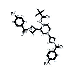 CC(C)(C)C(=O)ON1CCN(C2CN(C(=O)c3ccc(Br)cc3)C2)CC1C1CN(C(=O)c2ccc(Br)cc2)C1